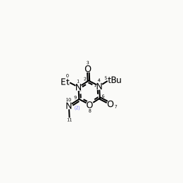 CCn1c(=O)n(C(C)(C)C)c(=O)o/c1=N\C